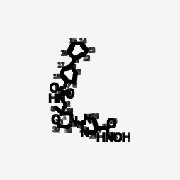 CC1(CNS(=O)(=O)c2ccc(-c3ccccc3)cc2)CN(c2ncc(C(=O)NO)cn2)CCO1